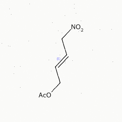 CC(=O)OC/C=C/C[N+](=O)[O-]